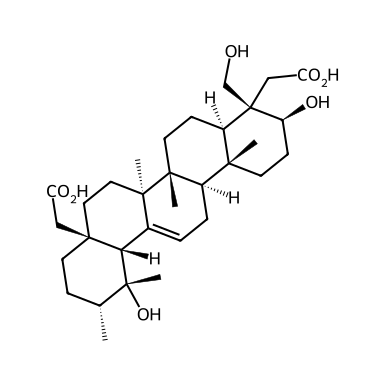 C[C@@H]1CC[C@]2(CC(=O)O)CC[C@]3(C)C(=CC[C@@H]4[C@@]5(C)CC[C@H](O)[C@@](CO)(CC(=O)O)[C@@H]5CC[C@]43C)[C@@H]2[C@]1(C)O